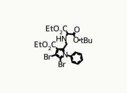 CCOC(=O)c1c(Br)c(Br)n(-c2ccccc2)c1CNC(C(=O)OCC)C(=O)OC(C)(C)C